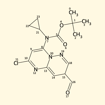 CC(C)(C)OC(=O)N(C1=CC(Cl)=NC2=CC(C=O)C=NN21)C1CC1